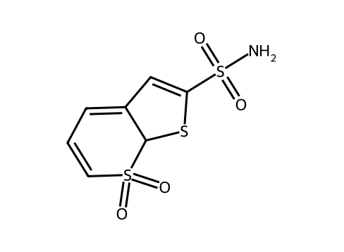 NS(=O)(=O)C1=CC2=CC=CS(=O)(=O)C2S1